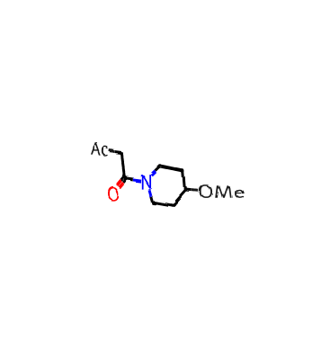 COC1CCN(C(=O)CC(C)=O)CC1